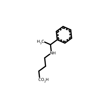 CC(NCCCC(=O)O)c1ccccc1